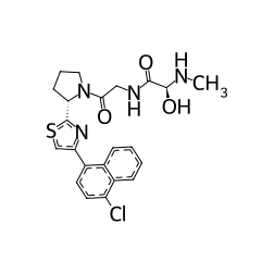 CN[C@@H](O)C(=O)NCC(=O)N1CCC[C@H]1c1nc(-c2ccc(Cl)c3ccccc23)cs1